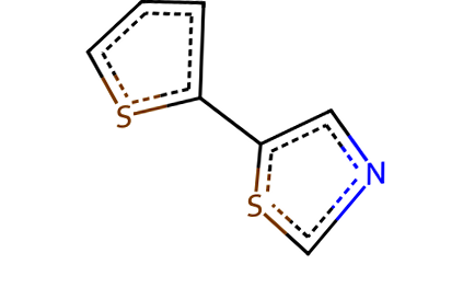 c1csc(-c2cncs2)c1